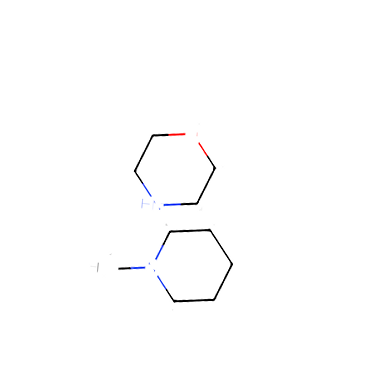 C1COCCN1.CN1CCCCC1